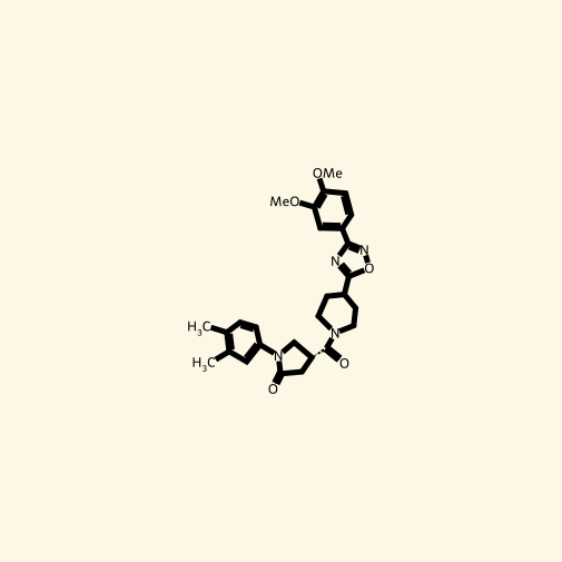 COc1ccc(-c2noc(C3CCN(C(=O)[C@@H]4CC(=O)N(c5ccc(C)c(C)c5)C4)CC3)n2)cc1OC